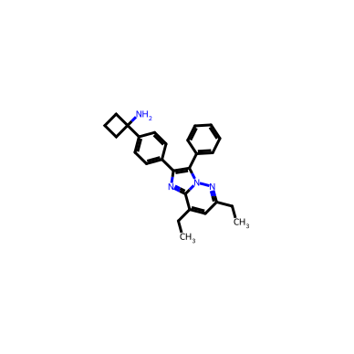 CCc1cc(CC)c2nc(-c3ccc(C4(N)CCC4)cc3)c(-c3ccccc3)n2n1